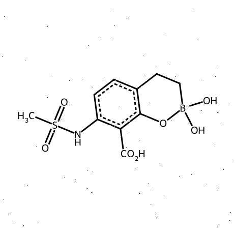 CS(=O)(=O)Nc1ccc2c(c1C(=O)O)O[B-](O)(O)CC2